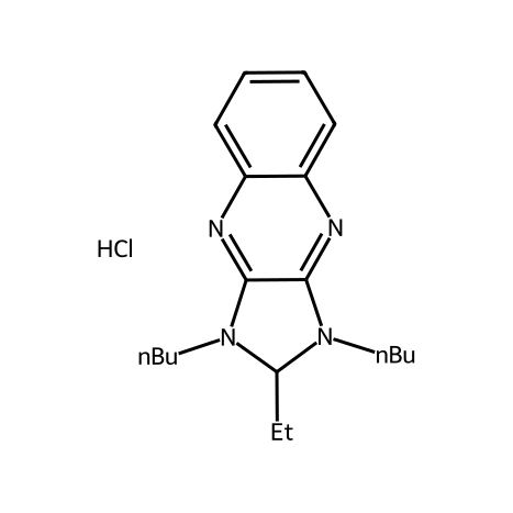 CCCCN1c2nc3ccccc3nc2N(CCCC)C1CC.Cl